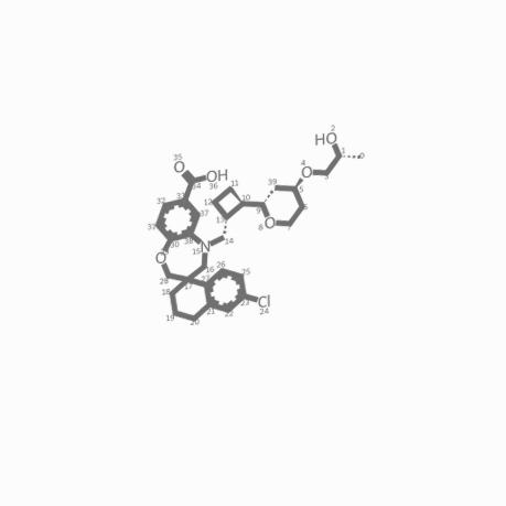 C[C@@H](O)CO[C@H]1CCO[C@H]([C@@H]2CC[C@H]2CN2CC3(CCCc4cc(Cl)ccc43)COc3ccc(C(=O)O)cc32)C1